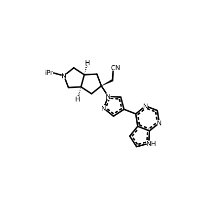 CC(C)N1C[C@@H]2C[C@@](CC#N)(n3cc(-c4ncnc5[nH]ccc45)cn3)C[C@@H]2C1